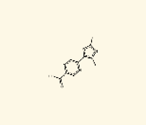 Cc1cc(-c2cnc(C(=O)O)cn2)n(C)n1